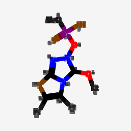 CCOC1N(OP(=S)(S)OC)N=C2SC(CC)=C(CC)N21